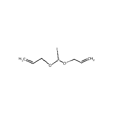 C=CCOP(I)OCC=C